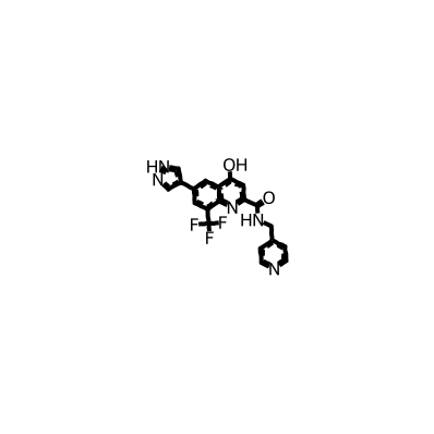 O=C(NCc1ccncc1)c1cc(O)c2cc(-c3cn[nH]c3)cc(C(F)(F)F)c2n1